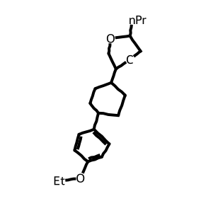 CCCC1CCC(C2CCC(c3ccc(OCC)cc3)CC2)CO1